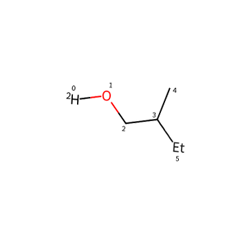 [2H]OCC(C)CC